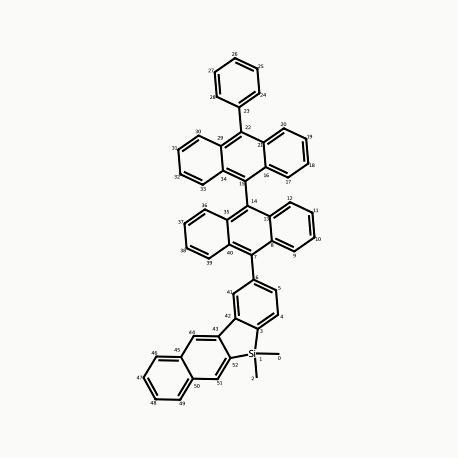 C[Si]1(C)c2ccc(-c3c4ccccc4c(-c4c5ccccc5c(-c5ccccc5)c5ccccc45)c4ccccc34)cc2-c2cc3ccccc3cc21